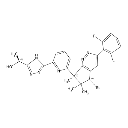 CC[C@H]1c2cc(-c3c(F)cccc3F)nnc2[C@](C)(c2cccc(-c3nnc([C@H](C)O)[nH]3)n2)C1(C)C